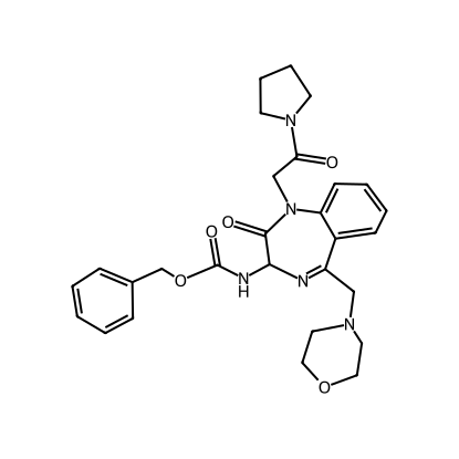 O=C(NC1N=C(CN2CCOCC2)c2ccccc2N(CC(=O)N2CCCC2)C1=O)OCc1ccccc1